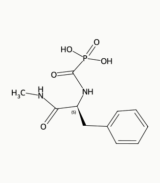 CNC(=O)[C@H](Cc1ccccc1)NC(=O)P(=O)(O)O